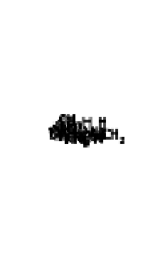 CNc1ncc(F)c(Nc2n[nH]c3c2CN(C(=O)N2C[C@@H]4CCCN4C[C@@H]2C)C3(C)C)n1